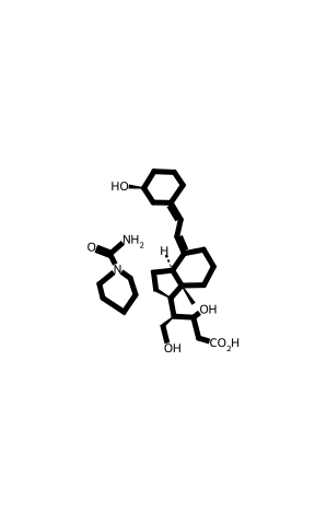 C[C@]12CCCC(=CC=C3CCC[C@H](O)C3)[C@@H]1CC[C@@H]2[C@H](CO)C(O)CC(=O)O.NC(=O)N1CCCCC1